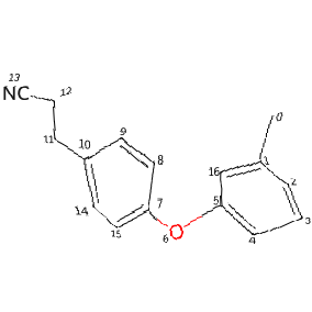 Cc1cccc(Oc2ccc(CCC#N)cc2)c1